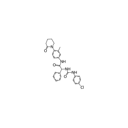 Cc1cc(NC(=O)C(NC(=O)Nc2ccc(Cl)cc2)c2ccccc2)ccc1N1CCCCC1=O